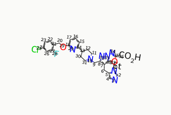 CCn1cncc1Cc1c(CN2CCC(c3cccc(OCc4ccc(Cl)cc4F)n3)CC2)nn2nc(C(=O)O)oc12